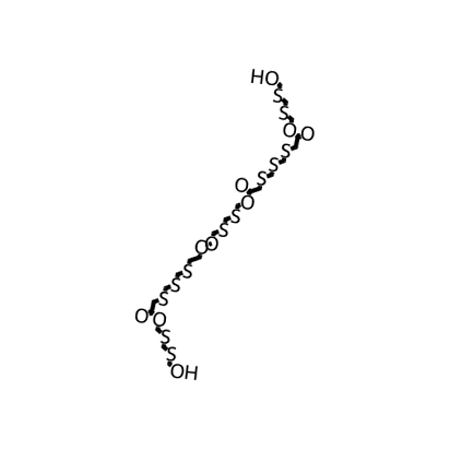 O=C(CSCSCSCCOOCSCSCOC(=O)CSCSCSCC(=O)OCSCSCO)OCSCSCO